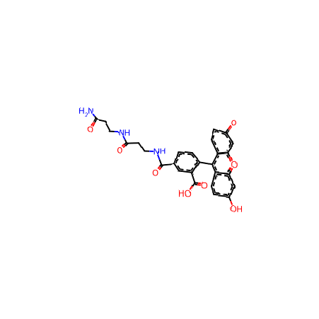 NC(=O)CCNC(=O)CCNC(=O)c1ccc(-c2c3ccc(=O)cc-3oc3cc(O)ccc23)c(C(=O)O)c1